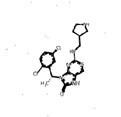 C[C@H](c1cc(Cl)ccc1Cl)n1c(=O)[nH]c2cnc(NCC3CCNC3)nc21